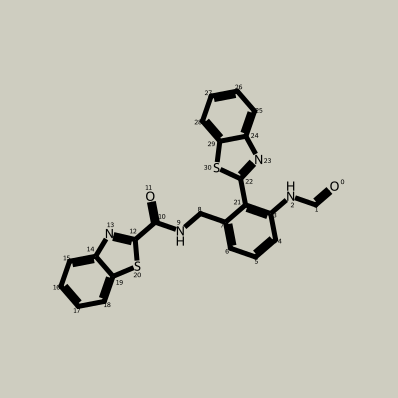 O=CNc1[c]ccc(CNC(=O)c2nc3ccccc3s2)c1-c1nc2ccccc2s1